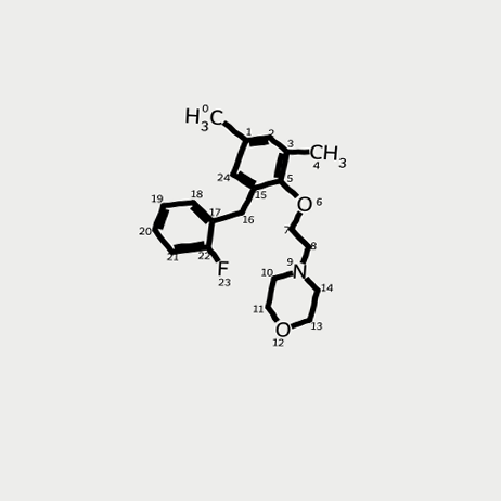 Cc1cc(C)c(OCCN2CCOCC2)c(Cc2ccccc2F)c1